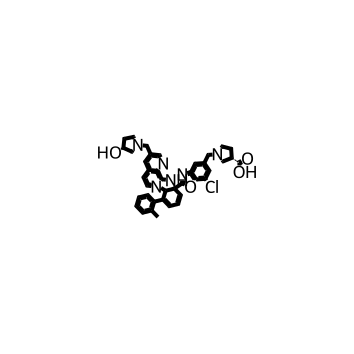 Cc1ccccc1C1=CC=CC(Nc2nccc3cc(CN4CC[C@H](O)C4)cnc23)(c2nc3cc(CN4CC[C@H](C(=O)O)C4)cc(Cl)c3o2)C1C